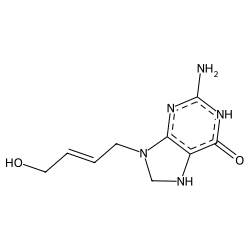 Nc1nc2c(c(=O)[nH]1)NCN2CC=CCO